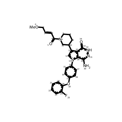 COCC=CC(=O)N1CCCC(c2cn(-c3ccc(Oc4ccccc4F)cc3)c3c(N)n[nH]c(=O)c23)C1